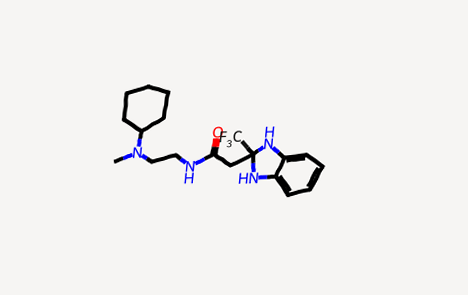 CN(CCNC(=O)CC1(C(F)(F)F)Nc2ccccc2N1)C1CCCCC1